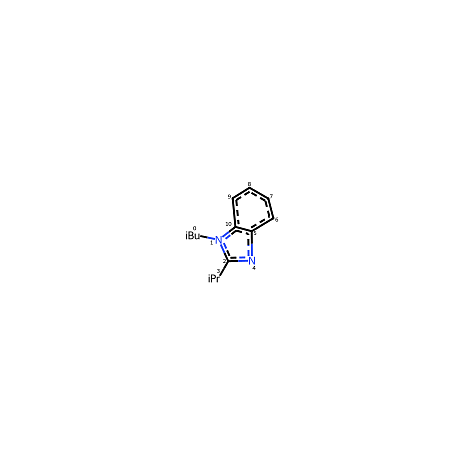 CCC(C)n1c(C(C)C)nc2ccccc21